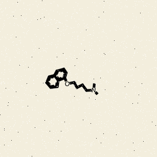 CN(C)CCC[CH]Oc1cccc2ccccc12